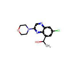 CC(O)c1cc(Cl)cc2ncc(N3CCOCC3)nc12